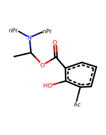 CCCN(CCC)C(C)OC(=O)c1cccc(C(C)=O)c1O